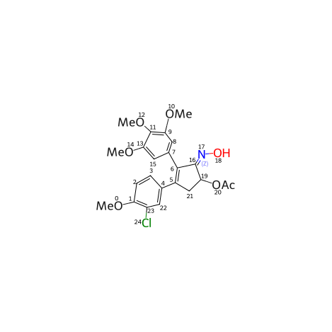 COc1ccc(C2=C(c3cc(OC)c(OC)c(OC)c3)/C(=N/O)C(OC(C)=O)C2)cc1Cl